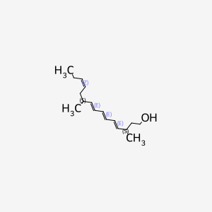 CC/C=C\C[C@H](C)/C=C/C=C/C=C/[C@@H](C)CCO